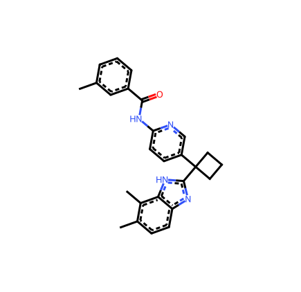 Cc1cccc(C(=O)Nc2ccc(C3(c4nc5ccc(C)c(C)c5[nH]4)CCC3)cn2)c1